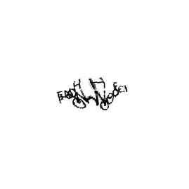 C=C(CCNC(=O)c1cc(C(F)F)no1)NC(=O)COc1ccc(Cl)c(F)c1